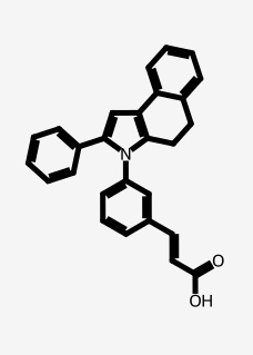 O=C(O)/C=C/c1cccc(-n2c(-c3ccccc3)cc3c2CCc2ccccc2-3)c1